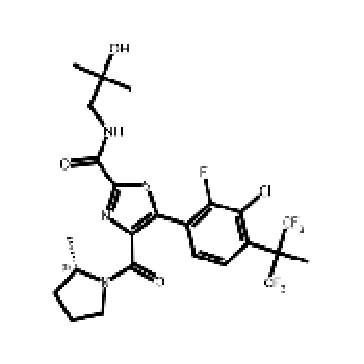 C[C@H]1CCCN1C(=O)c1nc(C(=O)NCC(C)(C)O)sc1-c1ccc(C(C)(C(F)(F)F)C(F)(F)F)c(Cl)c1F